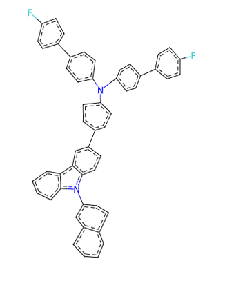 Fc1ccc(-c2ccc(N(c3ccc(-c4ccc(F)cc4)cc3)c3ccc(-c4ccc5c(c4)c4ccccc4n5-c4ccc5ccccc5c4)cc3)cc2)cc1